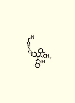 CC/C(=C(/c1ccc(OCCN2CC(CC#N)C2)cc1)c1cc2ccccc2[nH]1)c1ccccc1Cl